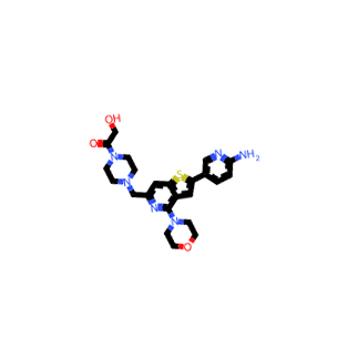 Nc1ccc(-c2cc3c(N4CCOCC4)nc(CN4CCN(C(=O)CO)CC4)cc3s2)cn1